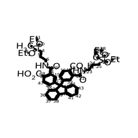 CCO[Si](C)(CCCNC(=O)c1cc(C2(c3ccc(C(=O)O)c(C(=O)NCCC[Si](OCC)(OCC)OCC)c3)c3ccccc3-c3ccccc32)ccc1C(=O)O)OCC